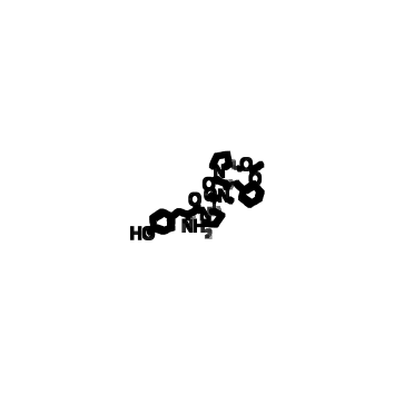 CC(=O)OC[C@H]1CCCN1C(=O)[C@H](Cc1ccccc1)N(C)C(=O)[C@@H]1CCCN1C(=O)[C@@H](N)Cc1ccc(O)cc1